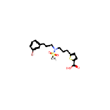 CS(=O)(=O)N(CCCc1cccc(Br)c1)CCCc1ccc(C(=O)O)s1